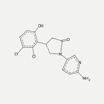 Nc1ccc(N2CC(c3c(O)ccc(Cl)c3Cl)CC2=O)cn1